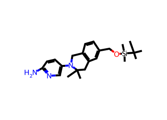 CC1(C)Cc2cc(CO[Si](C)(C)C(C)(C)C)ccc2CN1c1ccc(N)nc1